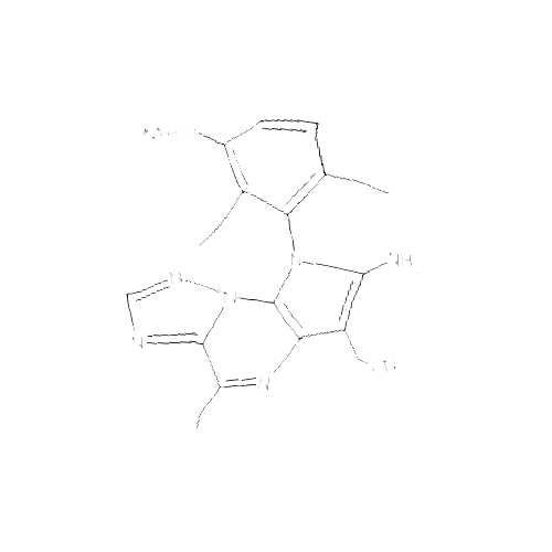 COc1ccc(C)c(-n2c(N)c(C#N)c3nc(C)c4ncnn4c32)c1C